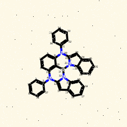 c1ccc(N2c3cccc4c3B(n3c2cc2ccccc23)n2c(cc3ccccc32)N4c2ccccc2)cc1